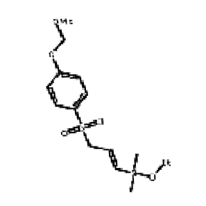 CCO[Si](C)(C)/C=C/CS(=O)(=O)c1ccc(OCOC)cc1